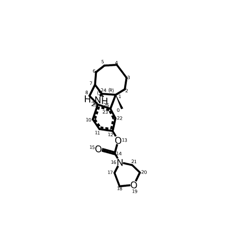 C[C@@]12CCCCCC(Cc3ccc(OC(=O)N4CCOCC4)cc31)[C@@H]2N